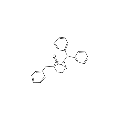 O=C1C(C(c2ccccc2)c2ccccc2)N2CCC1(Cc1ccccc1)CC2